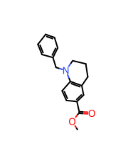 COC(=O)c1ccc2c(c1)CCCN2Cc1ccccc1